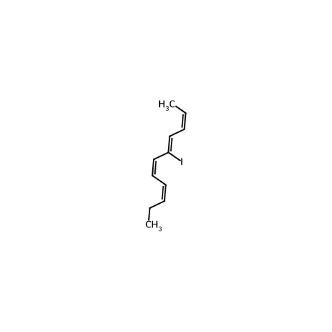 C\C=C/C=C(I)/C=C\C=C/CC